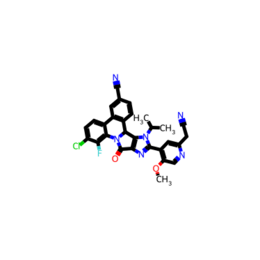 COc1cnc(CC#N)cc1-c1nc2c(n1C(C)C)C1c3ccc(C#N)cc3-c3ccc(Cl)c(F)c3N1C2=O